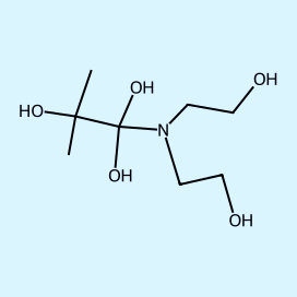 CC(C)(O)C(O)(O)N(CCO)CCO